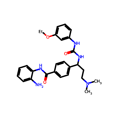 CCOc1cccc(NC(=O)NC(CCN(C)C)c2ccc(C(=O)Nc3ccccc3N)cc2)c1